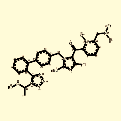 CCCCc1nc(Cl)c(C(=O)c2cccc(CN(CC)CC)[n+]2[O-])n1Cc1ccc(-c2ccccc2-c2nnnn2C(C)OCC)cc1